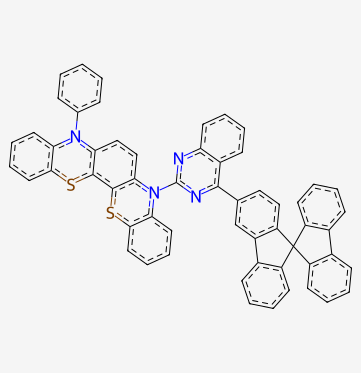 c1ccc(-n2c3ccccc3sc3c4sc5ccccc5n(-c5nc(-c6ccc7c(c6)-c6ccccc6C76c7ccccc7-c7ccccc76)c6ccccc6n5)c4ccc32)cc1